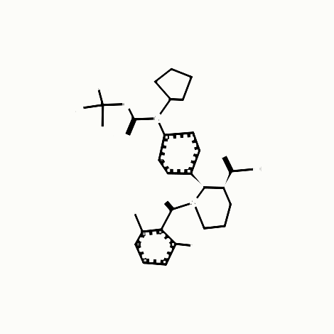 Cc1cccc(F)c1C(=O)N1CCC[C@H](C(=O)O)[C@@H]1c1ccc(N(C(=O)OC(C)(C)C)C2CCCC2)cc1